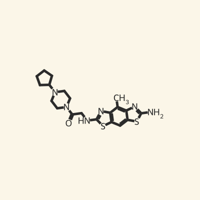 Cc1c2nc(N)sc2cc2sc(NCC(=O)N3CCN(C4CCCC4)CC3)nc12